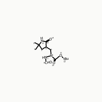 CC1(C)CC(CN(NC=O)C(=O)OC(C)(C)C)C(=O)N1